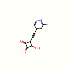 Cc1cc(C#CC2C(=O)C(=O)C2O)ccn1